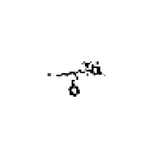 CCCCCC(CCN1C(=O)N[C@H]2CC(=O)C[C@H]21)OCc1ccccc1